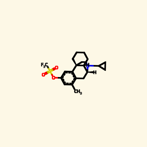 Cc1cc(OS(=O)(=O)C(F)(F)F)cc2c1C[C@@H]1[C@@H]3CCCC[C@]23CCN1C1CC1